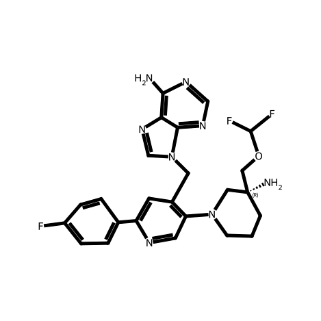 Nc1ncnc2c1ncn2Cc1cc(-c2ccc(F)cc2)ncc1N1CCC[C@](N)(COC(F)F)C1